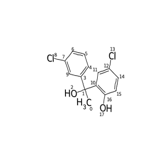 CC(O)(c1cccc(Cl)c1)c1cc(Cl)ccc1O